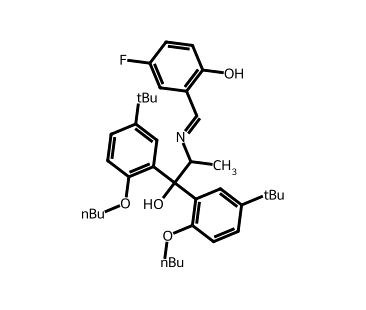 CCCCOc1ccc(C(C)(C)C)cc1C(O)(c1cc(C(C)(C)C)ccc1OCCCC)C(C)N=Cc1cc(F)ccc1O